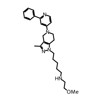 COCCNCCCCCn1nc(C)c2c1CCN(c1ccnc(-c3ccccc3)c1)C2